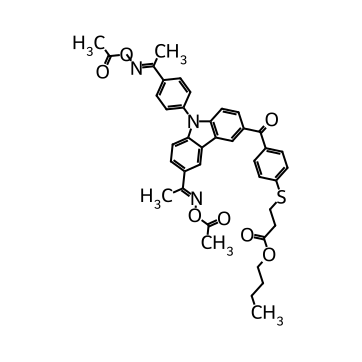 CCCCOC(=O)CCSc1ccc(C(=O)c2ccc3c(c2)c2cc(C(C)=NOC(C)=O)ccc2n3-c2ccc(C(C)=NOC(C)=O)cc2)cc1